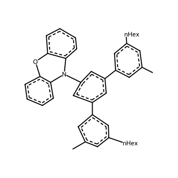 CCCCCCc1cc(C)cc(-c2cc(-c3cc(C)cc(CCCCCC)c3)cc(N3c4ccccc4Oc4ccccc43)c2)c1